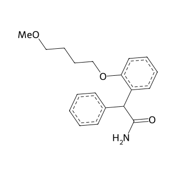 COCCCCOc1ccccc1C(C(N)=O)c1ccccc1